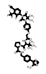 Cc1ncsc1-c1ccc(CNC(=O)C2CCCN2C(=O)C(NC(=O)COc2ccc(N3C(=S)N(c4ccc(C#N)c(C(F)(F)F)c4F)C(=O)C3(C)C)cn2)C(C)(C)C)cc1